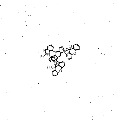 CCc1nc2cccc(-c3c4cccc(-c5cccc6c5C(C)(C)c5ccccc5O6)c4cc4c(-c5cccc6c5C(C)(C)c5ccccc5O6)cccc34)c2n1-c1ccccc1